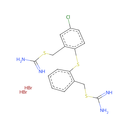 Br.Br.N=C(N)SCc1ccccc1Sc1ccc(Cl)cc1CSC(=N)N